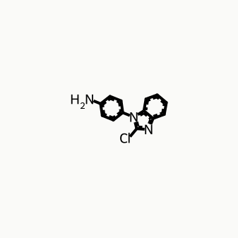 Nc1ccc(-n2c(Cl)nc3ccccc32)cc1